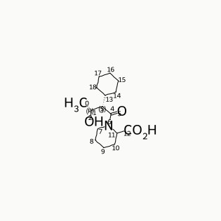 C[C@@H](O)[C@@H](C(=O)N1CCCCC1C(=O)O)C1CCCCC1